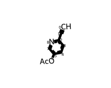 C#Cc1ccc(OC(C)=O)cn1